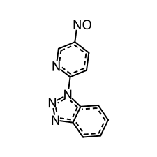 O=Nc1ccc(-n2nnc3ccccc32)nc1